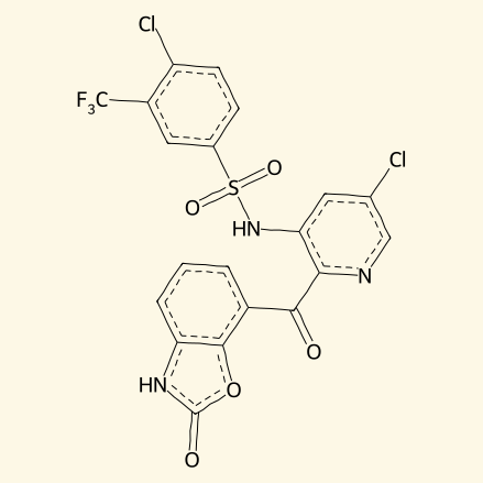 O=C(c1ncc(Cl)cc1NS(=O)(=O)c1ccc(Cl)c(C(F)(F)F)c1)c1cccc2[nH]c(=O)oc12